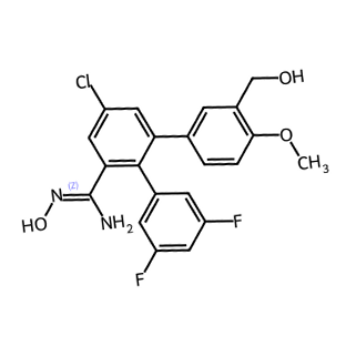 COc1ccc(-c2cc(Cl)cc(/C(N)=N/O)c2-c2cc(F)cc(F)c2)cc1CO